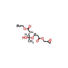 CCC(C)COC(=O)CC[C@H](CC(=O)OCC1CO1)OC(C)(C)O